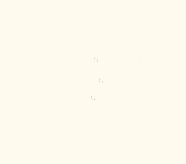 N#Cc1cc(Br)ccc1N=C1CCCN1CCc1ccccc1